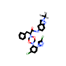 [2H]C([2H])([2H])n1cc2cc(NC(=O)C(Cc3ccccc3)N3CON(c4cc(Cl)ccc4-n4cc(Cl)nn4)CO3)ccc2n1